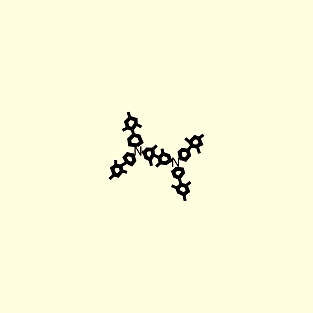 Cc1cc(C)c(-c2ccc(N(c3ccc(-c4c(C)cc(C)cc4C)cc3)c3cc(C)c(-c4c(C)cc(N(c5ccc(-c6c(C)cc(C)cc6C)cc5)c5ccc(-c6c(C)cc(C)cc6C)cc5)cc4C)c(C)c3)cc2)c(C)c1